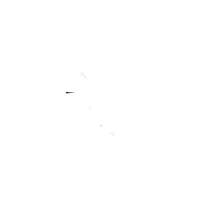 C[C@@H](NC(=O)c1ccc(F)cc1)C12CC(NC(=O)c3ccc(Cl)c(Cl)c3)(C1)C2